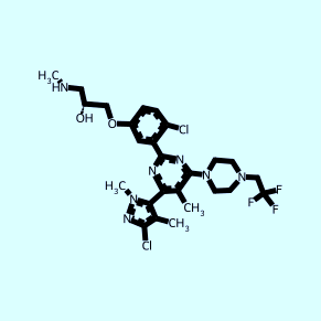 CNC[C@@H](O)COc1ccc(Cl)c(-c2nc(-c3c(C)c(Cl)nn3C)c(C)c(N3CCN(CC(F)(F)F)CC3)n2)c1